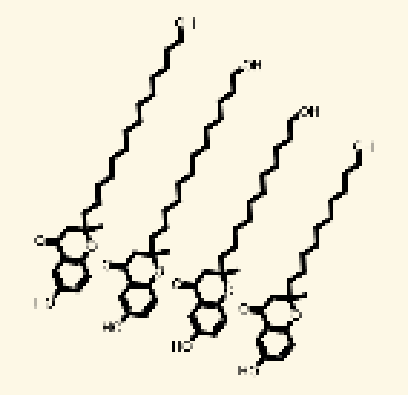 CC1(CCCCCCCCCCCCCCO)CC(=O)c2cc(O)ccc2O1.CC1(CCCCCCCCCCCCCO)CC(=O)c2cc(O)ccc2O1.CC1(CCCCCCCCCCCO)CC(=O)c2cc(O)ccc2O1.CC1(CCCCCCCCCCO)CC(=O)c2cc(O)ccc2O1